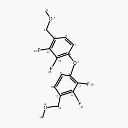 COCc1ccc(Oc2ccc(COC)c(F)c2F)c(F)c1F